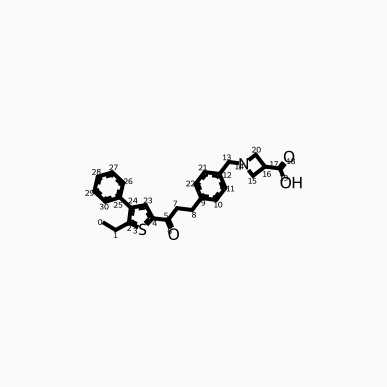 CCc1sc(C(=O)CCc2ccc(CN3CC(C(=O)O)C3)cc2)cc1-c1ccccc1